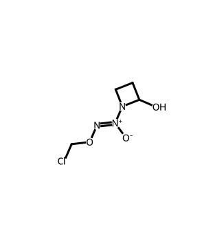 [O-][N+](=NOCCl)N1CCC1O